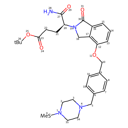 CSN1CCN(Cc2ccc(COc3cccc4c3CN([C@@H](CCC(=O)OC(C)(C)C)C(N)=O)C4=O)cc2)CC1